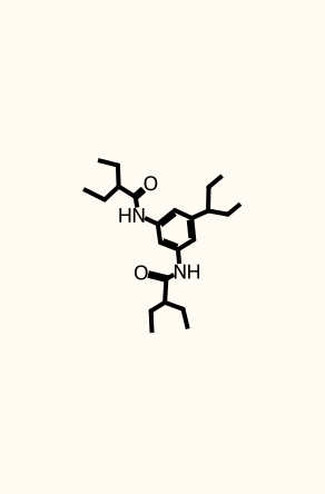 CCC(CC)C(=O)Nc1cc(NC(=O)C(CC)CC)cc(C(CC)CC)c1